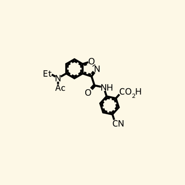 CCN(C(C)=O)c1ccc2onc(C(=O)Nc3ccc(C#N)cc3C(=O)O)c2c1